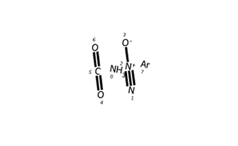 N.N#[N+][O-].O=C=O.[Ar]